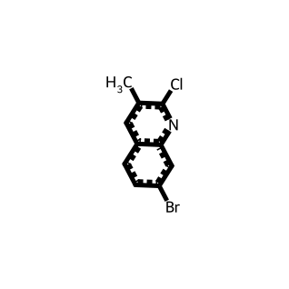 Cc1cc2ccc(Br)cc2nc1Cl